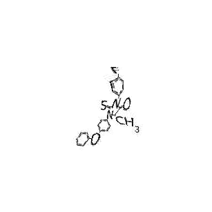 CC1C(=O)N(c2ccc(F)cc2)C(=S)N1c1ccc(Oc2ccccc2)cc1